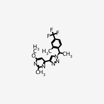 COc1cc(-c2cn(C(C)c3ccc(C(F)(F)F)cc3C)nn2)nc(C)n1